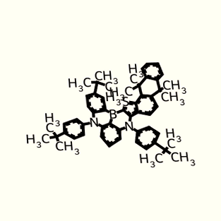 CC(C)(C)c1ccc(N2c3ccc(C(C)(C)C)cc3B3c4sc5c6c(ccc5c4N(c4ccc(C(C)(C)C)cc4)c4cccc2c43)C(C)(C)c2ccccc2C6(C)C)cc1